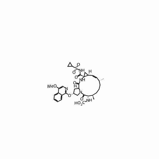 COc1cnc(O[C@@H]2C[C@H]3C(=O)N[C@]4(C(=O)NS(=O)(=O)C5CC5)C[C@H]4C=C[C@H](C)CCC[C@@H](C)[C@H](NC(=O)O)C(=O)N3C2)c2ccccc12